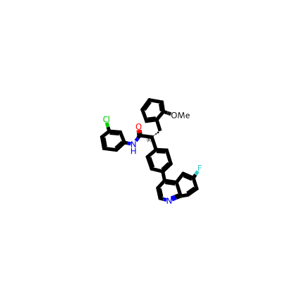 COc1ccccc1C[C@@H](C(=O)Nc1cccc(Cl)c1)c1ccc(-c2ccnc3ccc(F)cc23)cc1